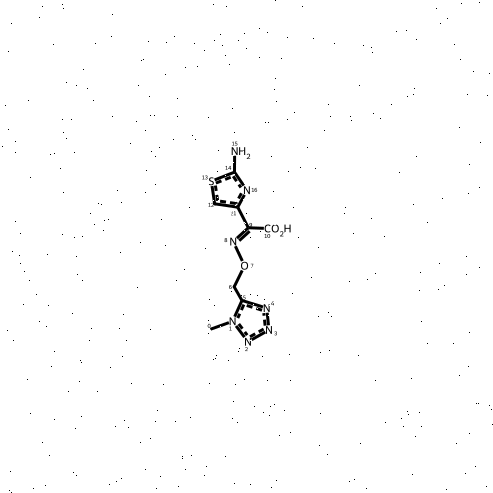 Cn1nnnc1CO/N=C(\C(=O)O)c1csc(N)n1